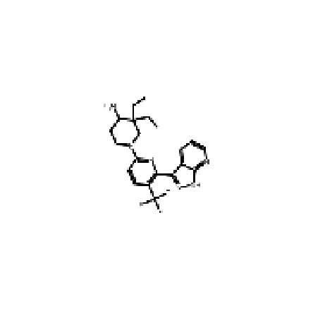 CCC1(CC)CN(c2ccc(C(F)(F)F)c(-c3n[nH]c4ncccc34)n2)CCC1N